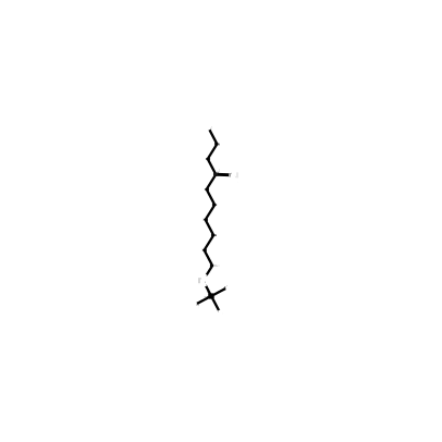 CCCC(N)CCCCCCNC(C)(C)C